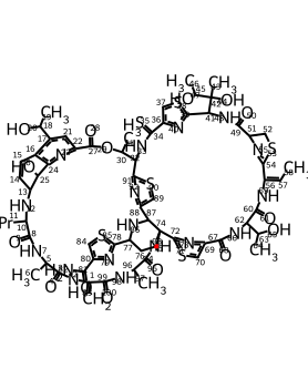 C=C1NC(=O)C(C)NC(=O)C(C(C)C)NC2C=Cc3c(C(C)O)cc(nc3C2O)C(=O)OC(C)C2NC(=S)c3csc(n3)C(C(C)(O)C(C)O)NC(=O)C3CSC(=N3)/C(=C\C)NC(=O)C(C(C)O)NC(=O)c3csc(n3)C3(CCC(c4nc(C(N)=O)cs4)NC3c3csc2n3)NC(=O)C(C)NC1=O